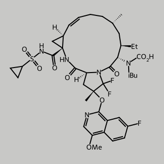 CCC(C)N(C(=O)O)[C@@H]1C(=O)N2[C@@H](C[C@@](C)(Oc3ncc(OC)c4ccc(F)cc34)C2(F)F)C(=O)N[C@]2(C(=O)NS(=O)(=O)C3CC3)C[C@H]2/C=C\CC[C@H](C)C[C@H]1CC